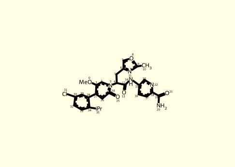 COc1cn(C(Cc2coc(C)n2)C(=O)Nc2ccc(C(N)=O)nc2)c(=O)cc1-c1cc(Cl)ccc1C(C)C